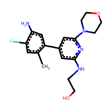 Cc1cc(F)c(N)cc1-c1cc(NCCO)nc(N2CCOCC2)c1